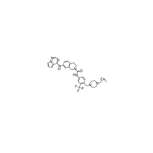 CCN1CCN(Cc2ccc(NC(=O)N3CCc4ccc(Nc5ncnn6cccc56)cc4C3)cc2C(F)(F)F)CC1